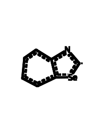 [c]1nc2ccccc2[se]1